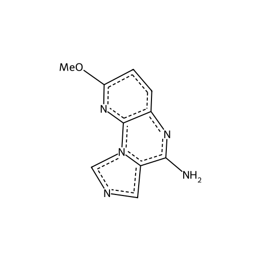 COc1ccc2nc(N)c3cncn3c2n1